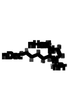 CCCCCCCCCCCCCCC1N(CCC)C=CN1CCCCCC